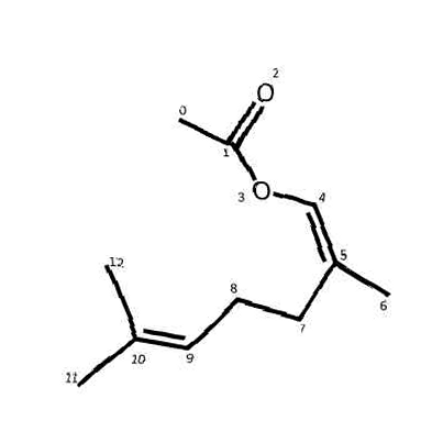 CC(=O)O/C=C(/C)CCC=C(C)C